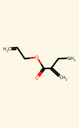 C=CCOC(=O)C(=C)C[SiH3]